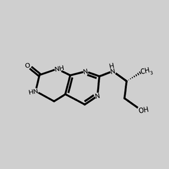 C[C@H](CO)Nc1ncc2c(n1)NC(=O)NC2